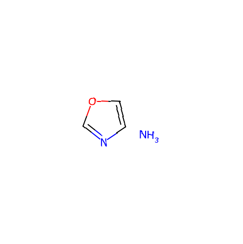 N.c1cocn1